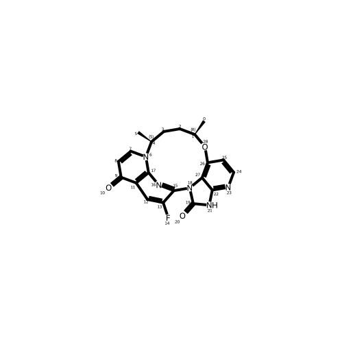 C[C@@H]1CC[C@H](C)n2ccc(=O)c3cc(F)c(nc32)-n2c(=O)[nH]c3nccc(c32)O1